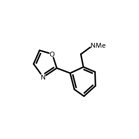 CNCc1ccccc1-c1ncco1